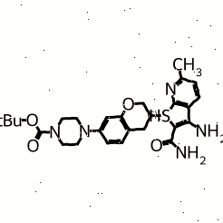 Cc1ccc2c(n1)[SH]([C@@H]1COc3cc(N4CCN(C(=O)OC(C)(C)C)CC4)ccc3C1)C(C(N)=O)=C2N